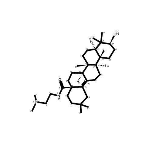 CN(C)CCNC(=O)[C@]12CCC(C)(C)CC1=C1CC[C@@H]3[C@@]4(C)CC[C@H](O)C(C)(C)[C@@H]4CC[C@@]3(C)[C@]1(C)CC2